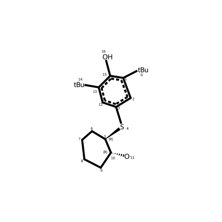 CC(C)(C)c1cc(S[C@@H]2CCCC[C@H]2[O])cc(C(C)(C)C)c1O